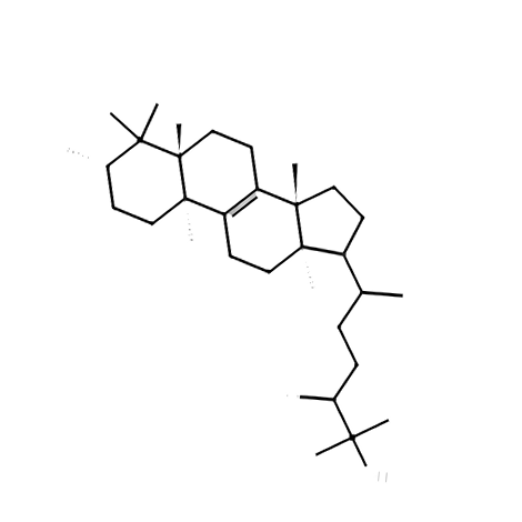 CC(CCC(O)C(C)(C)O)C1CC[C@@]2(C)C3=C(CC[C@]12C)[C@@]1(C)CC[C@H](C)C(C)(C)[C@@H]1CC3